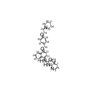 O=C(Nc1ncccc1Cl)Nc1ccc(OCc2ccc(OCCN3CCCCC3)cc2)c2ccccc12